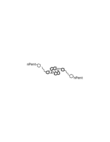 CCCCC[C@H]1CC[C@H](CCCCc2ccc(COc3ccc4ccccc4c3-c3c(OCc4ccc(CCCC[C@H]5CC[C@H](CCCCC)CC5)cc4)ccc4ccccc34)cc2)CC1